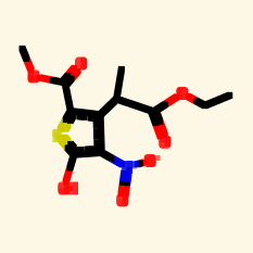 CCOC(=O)C(C)c1c(C(=O)OC)sc(O)c1[N+](=O)[O-]